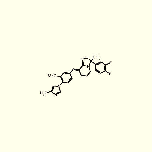 COc1cc(/C=C2\CCCN3C2=NOC3(C)c2ccc(F)c(F)c2)ccc1-n1cnc(C)c1